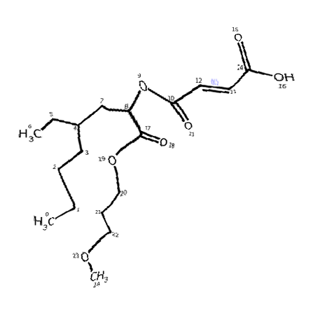 CCCCC(CC)CC(OC(=O)/C=C/C(=O)O)C(=O)OCCCOC